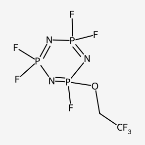 FC(F)(F)COP1(F)=NP(F)(F)=NP(F)(F)=N1